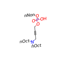 CCCCCCCCCOP(=O)(O)OCC#CCN(CCCCCCCC)CCCCCCCC